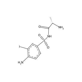 C[C@H](N)C(=O)NS(=O)(=O)c1ccc(N)c(I)c1